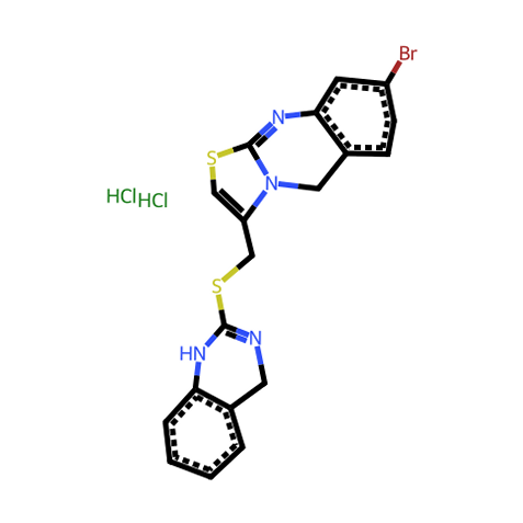 Brc1ccc2c(c1)N=C1SC=C(CSC3=NCc4ccccc4N3)N1C2.Cl.Cl